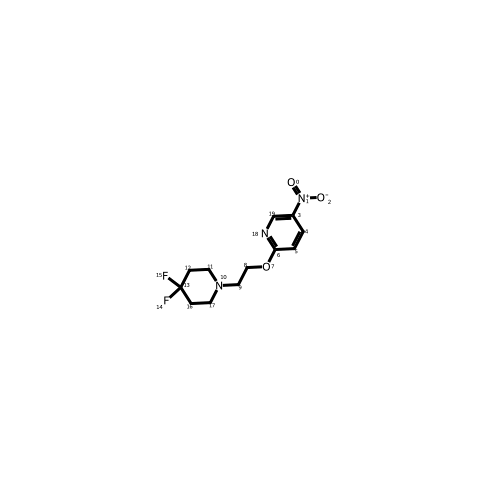 O=[N+]([O-])c1ccc(OCCN2CCC(F)(F)CC2)nc1